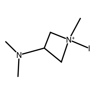 CN(C)C1C[N+](C)(I)C1